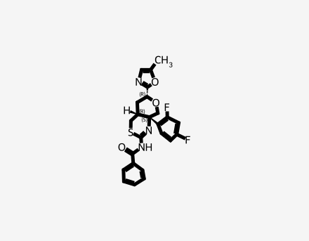 Cc1cnc([C@H]2C[C@H]3CSC(NC(=O)c4ccccc4)=N[C@@]3(c3ccc(F)cc3F)CO2)o1